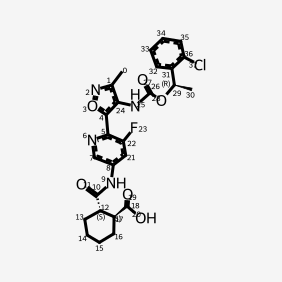 Cc1noc(-c2ncc(NC(=O)[C@H]3CCCC[C@@H]3C(=O)O)cc2F)c1NC(=O)O[C@H](C)c1ccccc1Cl